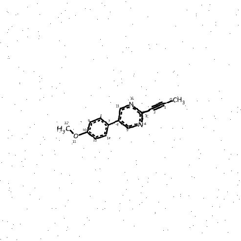 CC#Cc1ncc(-c2ccc(OC)cc2)cn1